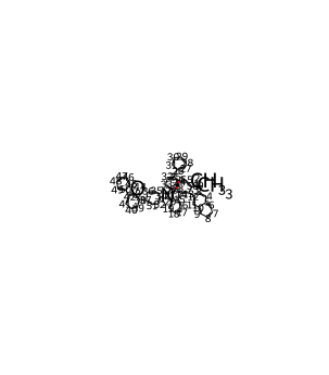 CC1(C)c2cc3ccccc3cc2-c2c(-c3ccccc3N(c3ccc(-c4ccccc4)cc3)c3ccc(-c4cccc5c4oc4ccccc45)cc3)cccc21